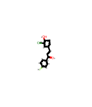 O=C(C=Cc1ccc(O)c(Cl)c1)c1ccc(F)cc1